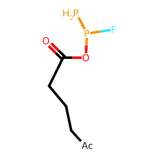 CC(=O)CCCC(=O)OP(F)P